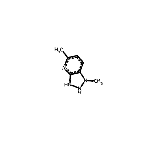 Cc1ccc2c(n1)NNN2C